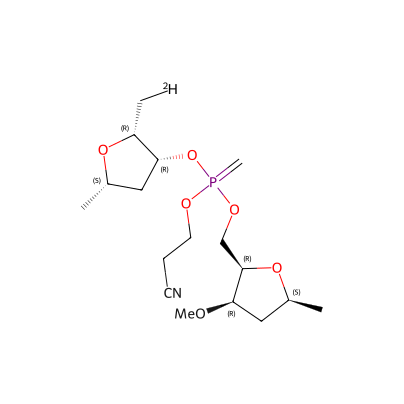 [2H]C[C@H]1O[C@@H](C)C[C@H]1OP(=C)(OCCC#N)OC[C@H]1O[C@@H](C)C[C@H]1OC